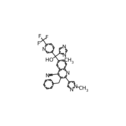 Cn1cc(-c2nc3ccc(C(O)(c4ccc(C(F)(F)F)nc4)c4cncn4C)cc3c(C#N)c2Cc2ccccc2)cn1